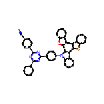 N#Cc1ccc(-c2nc(-c3ccccc3)nc(-c3ccc(-n4c5ccccc5c5c6sc7ccccc7c6c6c7ccccc7oc6c54)cc3)n2)cc1